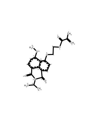 C=C(C)C(=O)OCCOc1ccc2c3c(ccc(OC)c13)C(=O)N(C(C)C)C2=O